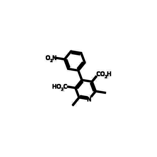 Cc1nc(C)c(C(=O)O)c(-c2cccc([N+](=O)[O-])c2)c1C(=O)O